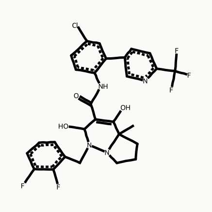 CC12CCCN1N(Cc1cccc(F)c1F)C(O)C(C(=O)Nc1ccc(Cl)cc1-c1ccc(C(F)(F)F)nc1)=C2O